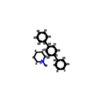 CN1CCCCC1.c1ccc(-c2ccc(-c3ccccc3)cc2)cc1